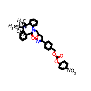 C/C1=C(\[Si](C)(C)C)c2ccccc2C(=O)N(CC2CC(c3ccc(COC(=O)Oc4ccc([N+](=O)[O-])cc4)cc3)=NO2)c2ccccc21